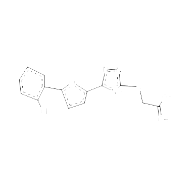 C=C(O)CSc1nnc(-c2ccc(-c3ccccc3Cl)o2)[nH]1